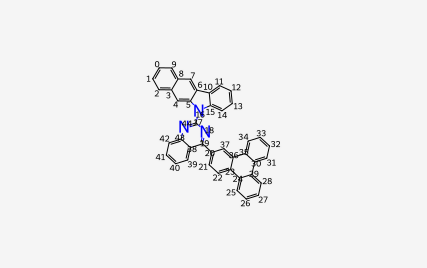 c1ccc2cc3c(cc2c1)c1ccccc1n3-c1nc(-c2ccc3c4ccccc4c4ccccc4c3c2)c2ccccc2n1